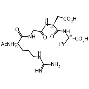 CC(=O)N[C@@H](CCCNC(=N)N)C(=O)NCC(=O)N[C@@H](CC(=O)O)C(=O)N[C@H](C(=O)O)C(C)C